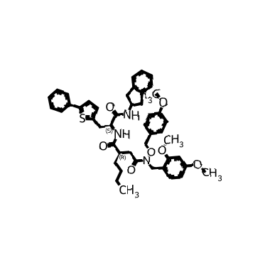 CCCC[C@H](CC(=O)N(Cc1ccc(OC)cc1OC)OCc1ccc(OC)cc1)C(=O)N[C@@H](Cc1ccc(-c2ccccc2)s1)C(=O)NC1Cc2ccccc2C1